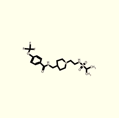 CC(C)S(=O)(=O)NCCN1CCC(CNC(=O)c2ccc(OC(F)(F)F)cc2)CC1